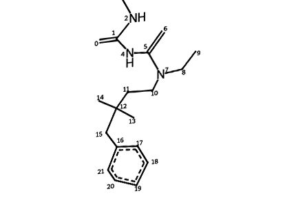 C=C(NC)NC(=C)N(CC)CCC(C)(C)Cc1ccccc1